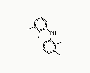 Cc1cccc(Pc2cccc(C)c2C)c1C